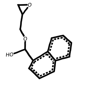 OC(OCC1CO1)c1cccc2ccccc12